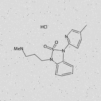 CNCCCN1c2ccccc2N(c2ccc(C)cn2)S1(=O)=O.Cl